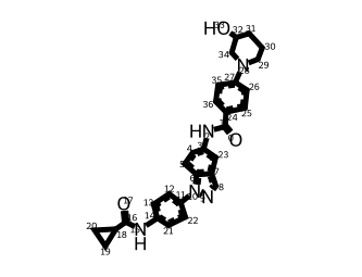 O=C(Nc1ccc2c(cnn2-c2ccc(NC(=O)C3CC3)cc2)c1)c1ccc(N2CCCC(O)C2)cc1